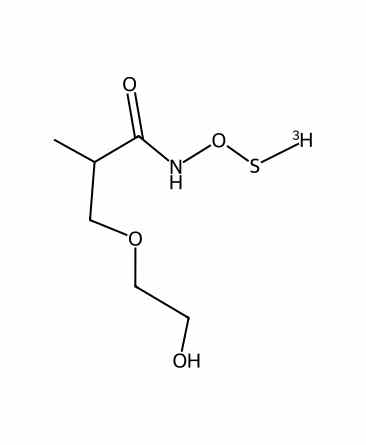 [3H]SONC(=O)C(C)COCCO